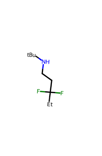 CCC(F)(F)CCNC(C)(C)C